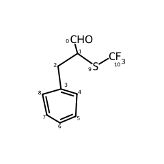 O=CC(Cc1ccccc1)SC(F)(F)F